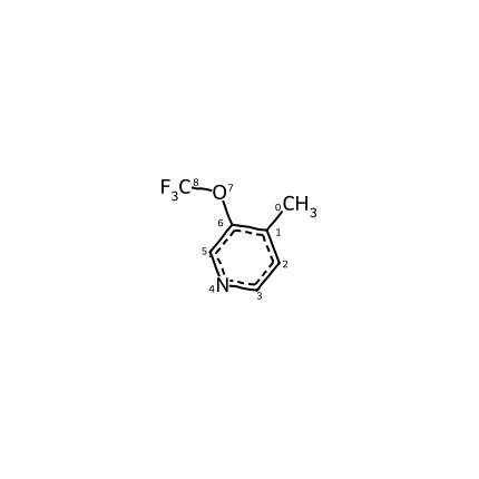 Cc1ccn[c]c1OC(F)(F)F